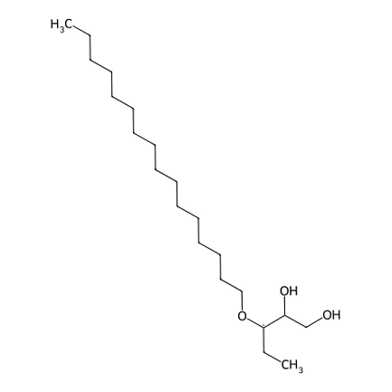 CCCCCCCCCCCCCCCCO[C](CC)C(O)CO